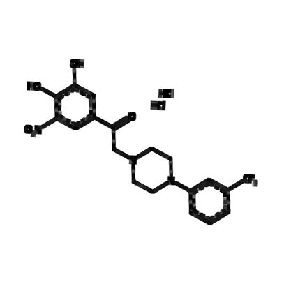 Cl.Cl.O=C(CN1CCN(c2cccc(C(F)(F)F)c2)CC1)c1cc(O)c(O)c([N+](=O)[O-])c1